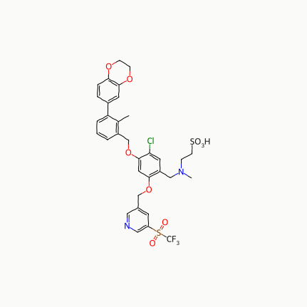 Cc1c(COc2cc(OCc3cncc(S(=O)(=O)C(F)(F)F)c3)c(CN(C)CCS(=O)(=O)O)cc2Cl)cccc1-c1ccc2c(c1)OCCO2